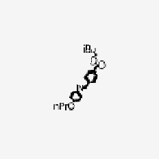 CCCOc1ccc(N=Cc2ccc(C(=O)OCC(C)CC)cc2)cc1